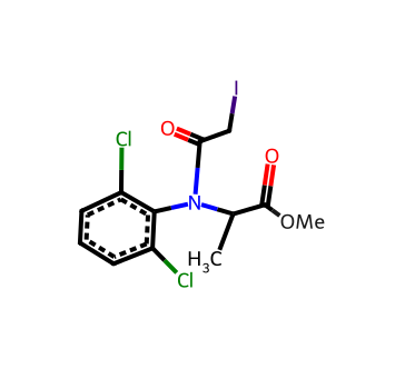 COC(=O)C(C)N(C(=O)CI)c1c(Cl)cccc1Cl